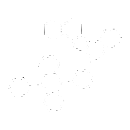 c1ccc(-c2c3ccccc3c(-c3cccc(-c4cc5ccccc5c5c4sc4c6ccccc6ccc45)c3)c3ccccc23)cc1